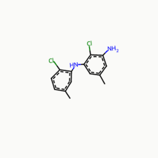 Cc1ccc(Cl)c(Nc2cc(C)cc(N)c2Cl)c1